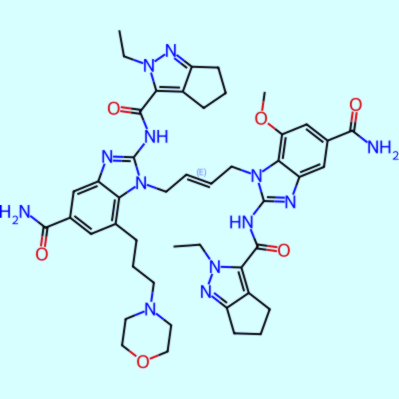 CCn1nc2c(c1C(=O)Nc1nc3cc(C(N)=O)cc(CCCN4CCOCC4)c3n1C/C=C/Cn1c(NC(=O)c3c4c(nn3CC)CCC4)nc3cc(C(N)=O)cc(OC)c31)CCC2